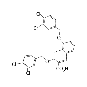 O=C(O)c1cc2cccc(OCc3ccc(Cl)c(Cl)c3)c2cc1OCc1ccc(Cl)c(Cl)c1